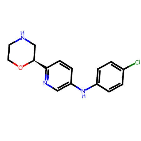 Clc1ccc(Nc2ccc([C@@H]3CNCCO3)nc2)cc1